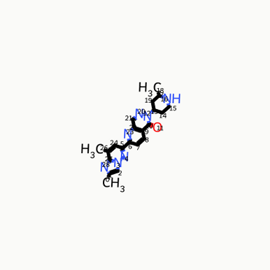 Cc1cn2nc(-c3ccc4c(=O)n(C5CCNC(C)C5)ncc4n3)cc(C)c2n1